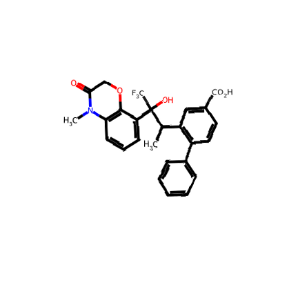 CC(c1cc(C(=O)O)ccc1-c1ccccc1)C(O)(c1cccc2c1OCC(=O)N2C)C(F)(F)F